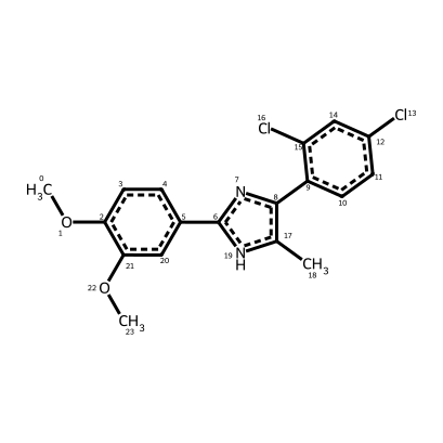 COc1ccc(-c2nc(-c3ccc(Cl)cc3Cl)c(C)[nH]2)cc1OC